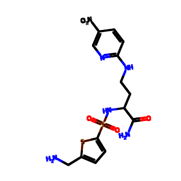 NCc1ccc(S(=O)(=O)NC(CCNc2ccc([N+](=O)[O-])cn2)C(N)=O)s1